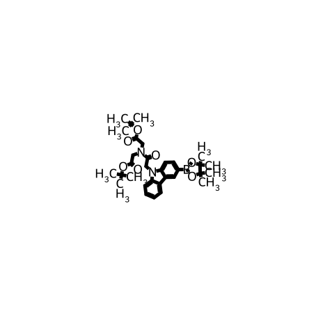 CC(C)(C)OC(=O)CN(CC(=O)OC(C)(C)C)C(=O)Cn1c2ccccc2c2cc(B3OC(C)(C)C(C)(C)O3)ccc21